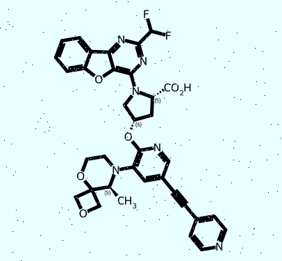 C[C@@H]1N(c2cc(C#Cc3ccncc3)cnc2O[C@H]2C[C@@H](C(=O)O)N(c3nc(C(F)F)nc4c3oc3ccccc34)C2)CCOC12COC2